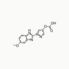 COc1ccc2[nH]c(-n3cc(OC(=O)O)cn3)nc2c1